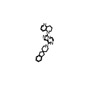 c1ccc2c(c1)CC1(CCN(c3nccn4c(N5CCCc6ncccc65)ncc34)CC1)C2